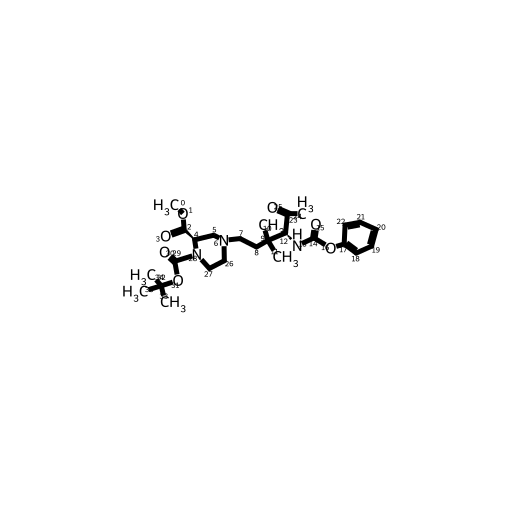 COC(=O)[C@H]1CN(CCC(C)(C)[C@@H](NC(=O)Oc2ccccc2)C(C)=O)CCN1C(=O)OC(C)(C)C